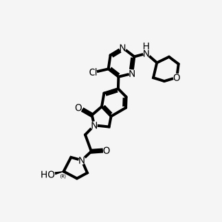 O=C(CN1Cc2ccc(-c3nc(NC4CCOCC4)ncc3Cl)cc2C1=O)N1CC[C@@H](O)C1